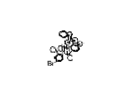 COc1ccc(C(=O)Nc2ccc(Br)cc2C(=O)O)cc1S(=O)(=O)N1CCc2ccccc21